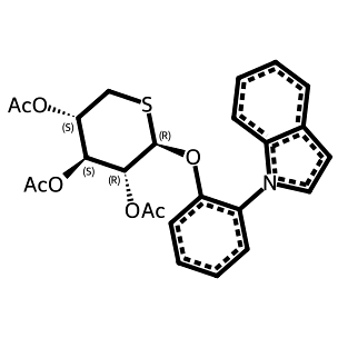 CC(=O)O[C@@H]1[C@@H](OC(C)=O)[C@H](OC(C)=O)CS[C@H]1Oc1ccccc1-n1ccc2ccccc21